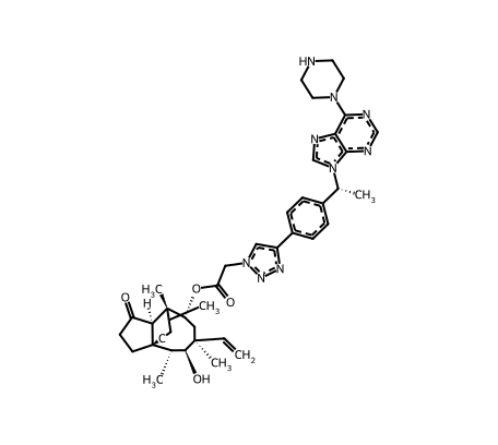 C=C[C@]1(C)C[C@@H](OC(=O)Cn2cc(-c3ccc([C@@H](C)n4cnc5c(N6CCNCC6)ncnc54)cc3)nn2)[C@]2(C)C(C)CC[C@]3(CCC(=O)[C@H]32)[C@@H](C)[C@@H]1O